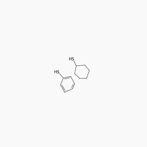 SC1CCCCC1.Sc1ccccc1